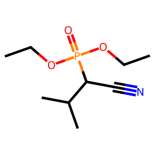 CCOP(=O)(OCC)C(C#N)C(C)C